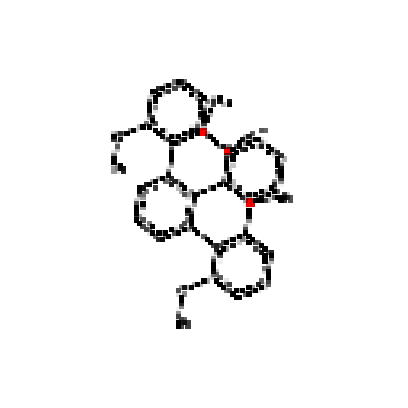 CC(C)Oc1cccc(OC(C)C)c1-c1cccc(-c2c(OC(C)C)cccc2OC(C)C)c1-c1ccccc1PC(C)(C)C